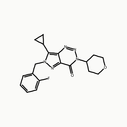 O=c1c2nn(Cc3ccccc3F)c(C3CC3)c2nnn1C1CCOCC1